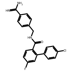 N=C(N)c1ccc(CNC(=O)c2ccc(F)cc2-c2ccc(Cl)cc2)cc1